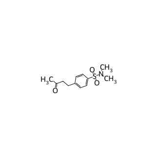 CC(=O)CCc1ccc(S(=O)(=O)N(C)C)cc1